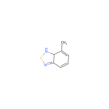 CC1=CC=CC2=NSNC12